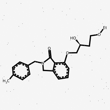 CCOCC[C@H](O)COc1cccc2c1C(=O)N(Cc1ccc(C)cc1)C2